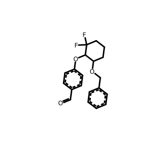 O=Cc1ccc(OC2C(OCc3ccccc3)CCCC2(F)F)cc1